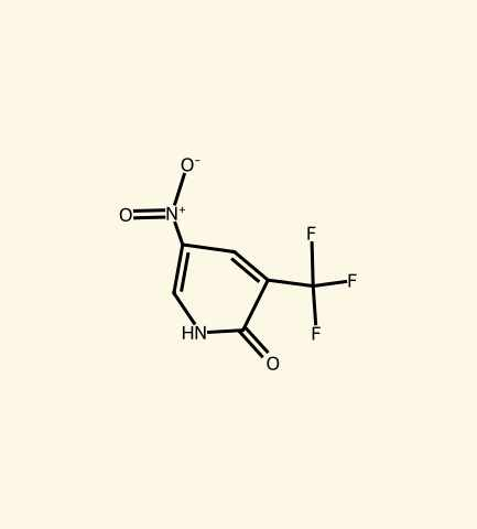 O=c1[nH]cc([N+](=O)[O-])cc1C(F)(F)F